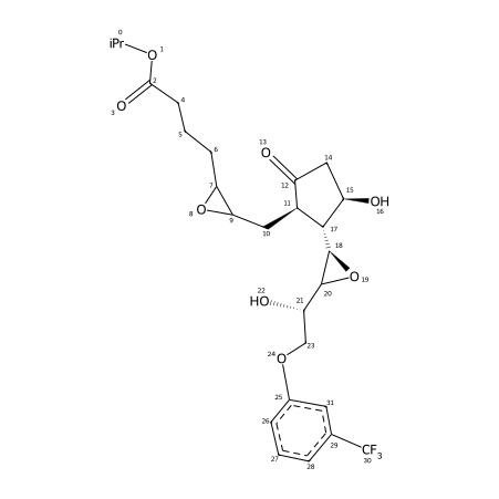 CC(C)OC(=O)CCCC1OC1C[C@H]1C(=O)C[C@@H](O)[C@@H]1[C@H]1OC1[C@@H](O)COc1cccc(C(F)(F)F)c1